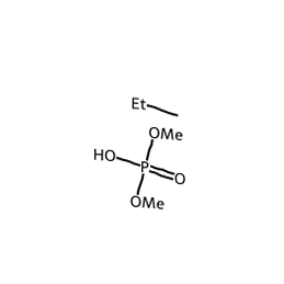 CCC.COP(=O)(O)OC